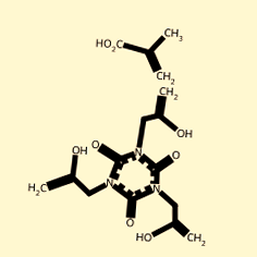 C=C(C)C(=O)O.C=C(O)Cn1c(=O)n(CC(=C)O)c(=O)n(CC(=C)O)c1=O